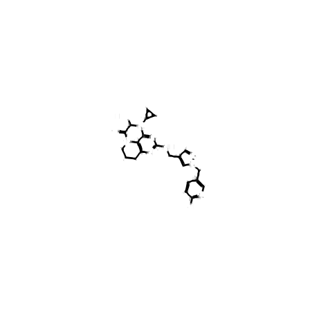 CC1C(=O)N2CCCc3nc(NCc4cnn(Cc5ccc(C(F)(F)F)nc5)c4)nc(c32)N1C1CC1